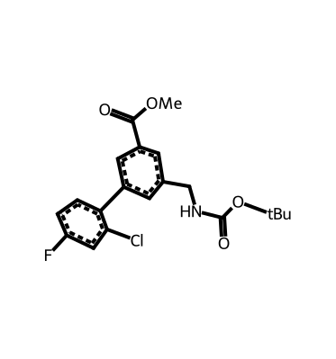 COC(=O)c1cc(CNC(=O)OC(C)(C)C)cc(-c2ccc(F)cc2Cl)c1